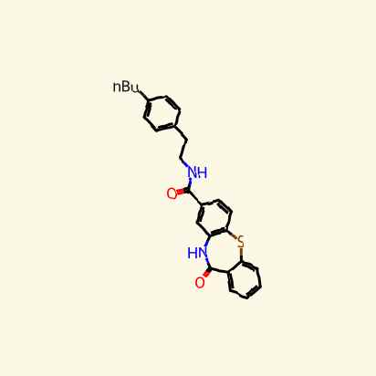 CCCCc1ccc(CCNC(=O)c2ccc3c(c2)NC(=O)c2ccccc2S3)cc1